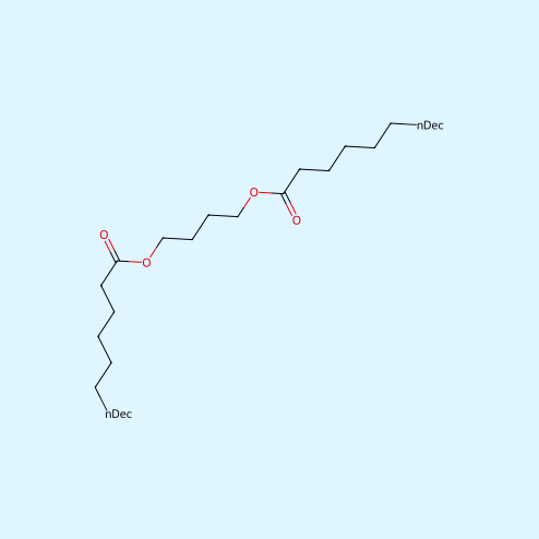 CCCCCCCCCCCCCCCC(=O)OCCCCOC(=O)CCCCCCCCCCCCCCC